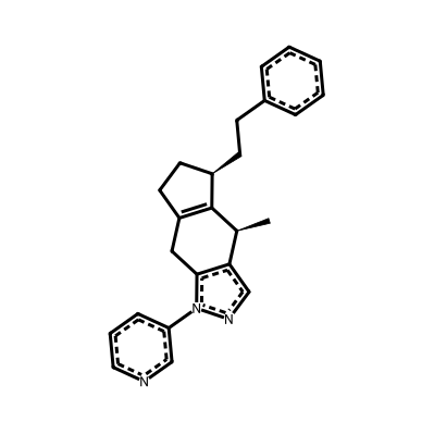 C[C@@H]1C2=C(CC[C@H]2CCc2ccccc2)Cc2c1cnn2-c1cccnc1